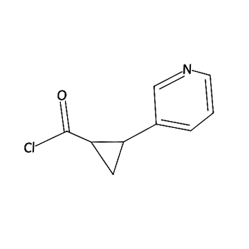 O=C(Cl)C1CC1c1cccnc1